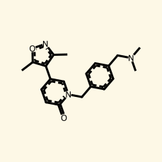 Cc1noc(C)c1-c1ccc(=O)n(Cc2ccc(CN(C)C)cc2)c1